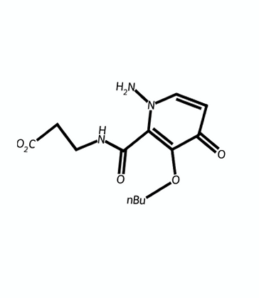 CCCCOc1c(C(=O)NCCC(=O)OCC)n(N)ccc1=O